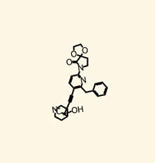 O=C1N(c2ccc(C#C[C@@]3(O)CN4CCC3CC4)c(Cc3ccccc3)n2)CCC12OCCO2